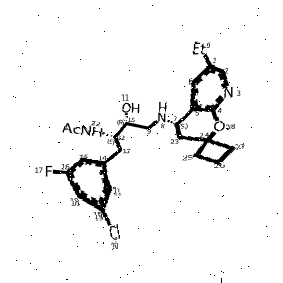 CCc1cnc2c(c1)[C@@H](NC[C@@H](O)[C@H](Cc1cc(F)cc(Cl)c1)NC(C)=O)CC1(CCC1)O2